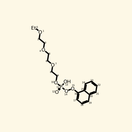 CCOCCOCCOCCOP(=O)(O)OOc1cccc2ccccc12